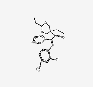 CCC1OCC(CC)(C(=O)C(=Cc2ccc(Cl)cc2Cl)n2cncn2)CO1